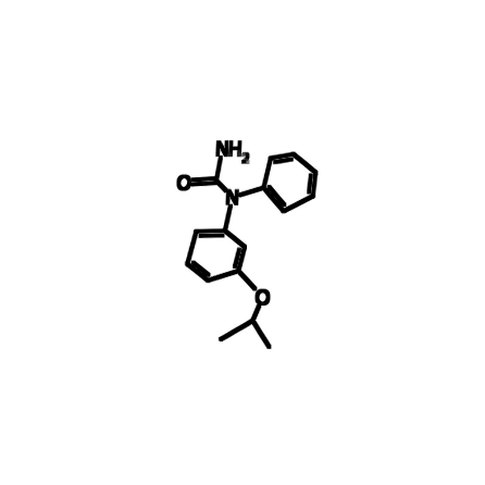 CC(C)Oc1cccc(N(C(N)=O)c2ccccc2)c1